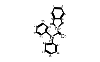 O=C(N1[CH]c2ccccc2C1)N(c1ccccc1)c1ccccc1